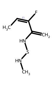 C=C(NSNC)/C(F)=C\C